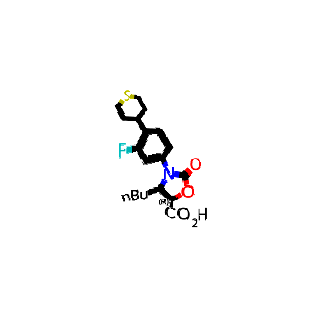 CCCCC1[C@H](C(=O)O)OC(=O)N1c1ccc(C2CCSCC2)c(F)c1